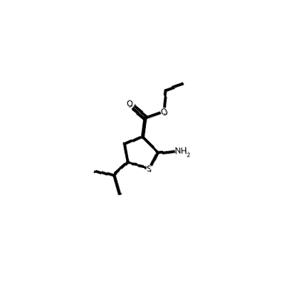 CCOC(=O)C1CC(C(C)C)SC1N